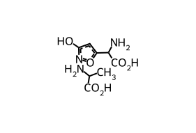 CC(N)C(=O)O.NC(C(=O)O)c1cc(O)no1